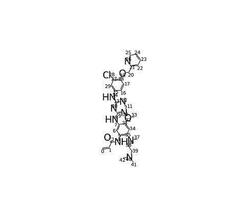 C=CC(=O)Nc1cc(Nc2ncnc(Nc3ccc(OCc4ccccn4)c(Cl)c3)n2)c(OC)cc1N(C)CCN(C)C